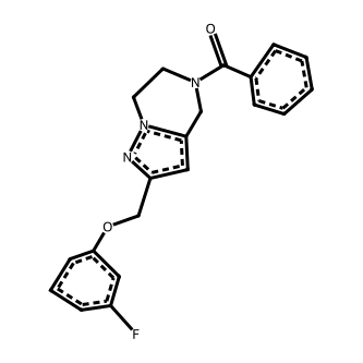 O=C(c1ccccc1)N1CCn2nc(COc3cccc(F)c3)cc2C1